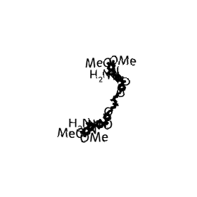 COc1cc2nc(N3CCN(C(=O)c4ccc(OCCCC(C)CC(C)(C)CCCOc5ccc(C(=O)N6CCN(c7nc(N)c8cc(OC)c(OC)cc8n7)CC6)cc5)cc4)CC3)nc(N)c2cc1OC